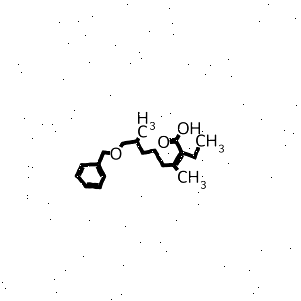 CCC(C(=O)O)=C(C)CCCC(C)COCc1ccccc1